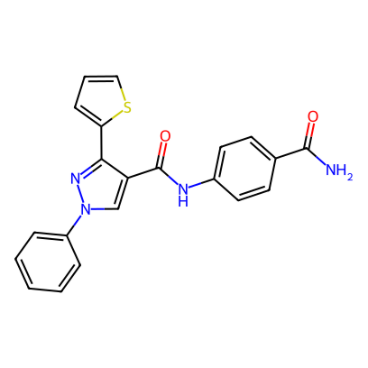 NC(=O)c1ccc(NC(=O)c2cn(-c3ccccc3)nc2-c2cccs2)cc1